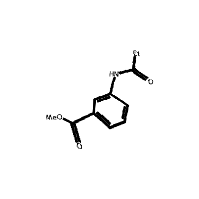 CCC(=O)Nc1cccc(C(=O)OC)c1